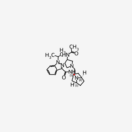 CC(=O)NC1CCN(CCN2[C@@H]3CC[C@H]2C[C@H](NC(=O)c2nn(C(C)C)c4ccccc24)C3)C1